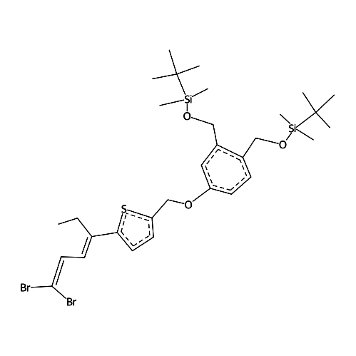 CCC(=CC=C(Br)Br)c1ccc(COc2ccc(CO[Si](C)(C)C(C)(C)C)c(CO[Si](C)(C)C(C)(C)C)c2)s1